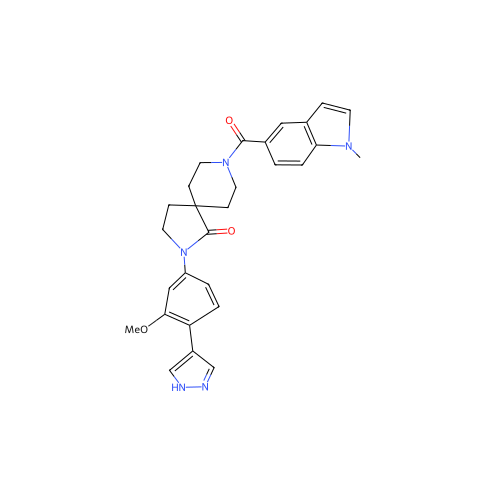 COc1cc(N2CCC3(CCN(C(=O)c4ccc5c(ccn5C)c4)CC3)C2=O)ccc1-c1cn[nH]c1